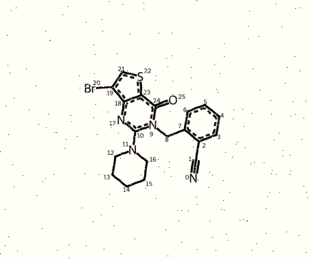 N#Cc1ccccc1Cn1c(N2CCCCC2)nc2c(Br)csc2c1=O